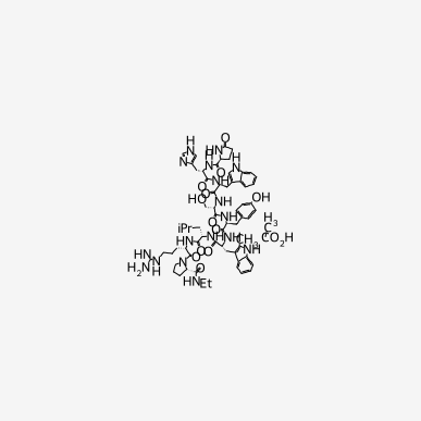 CC(=O)O.CCNC(=O)[C@@H]1CCCN1C(=O)[C@H](CCCNC(=N)N)NC(=O)[C@H](CC(C)C)NC(=O)[C@@H](Cc1c(C)[nH]c2ccccc12)NC(=O)[C@H](Cc1ccc(O)cc1)NC(=O)[C@H](CO)NC(=O)[C@H](Cc1c[nH]c2ccccc12)NC(=O)[C@H](Cc1c[nH]cn1)NC(=O)[C@@H]1CCC(=O)N1